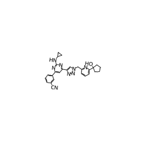 N#Cc1cccc(-c2cc(-c3cn(Cc4cccc(C5(O)CCCC5)n4)nn3)nc(NC3CC3)n2)c1